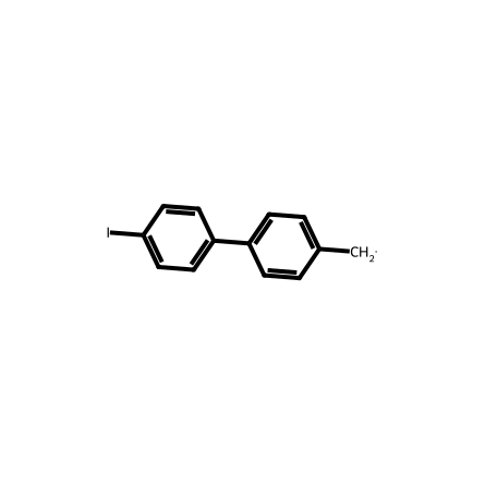 [CH2]c1ccc(-c2ccc(I)cc2)cc1